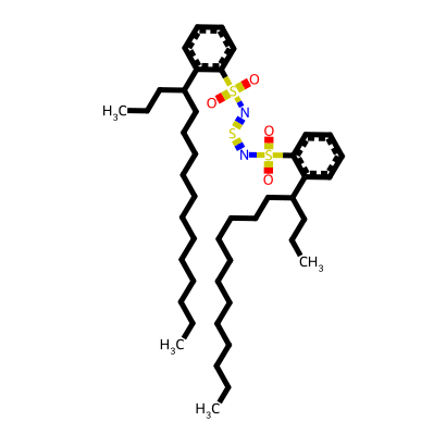 CCCCCCCCCCCCC(CCC)c1ccccc1S(=O)(=O)N=S=NS(=O)(=O)c1ccccc1C(CCC)CCCCCCCCCCCC